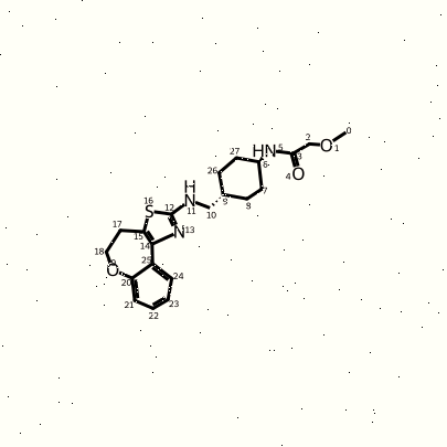 COCC(=O)N[C@H]1CC[C@H](CNc2nc3c(s2)CCOc2ccccc2-3)CC1